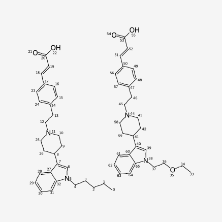 CCCCCn1cc(C2CCN(CCc3ccc(C=CC(=O)O)cc3)CC2)c2ccccc21.CCOCCn1cc(C2CCN(CCc3ccc(C=CC(=O)O)cc3)CC2)c2ccccc21